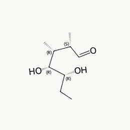 CC[C@@H](O)[C@H](O)[C@H](C)[C@H](C)C=O